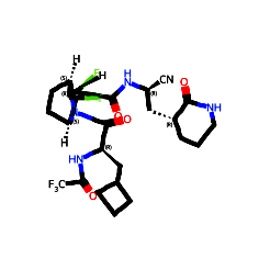 N#C[C@@H](C[C@H]1CCCNC1=O)NC(=O)[C@H]1[C@@H]2CC[C@@H](CC2(F)F)N1C(=O)[C@@H](CC1CCC1)NC(=O)C(F)(F)F